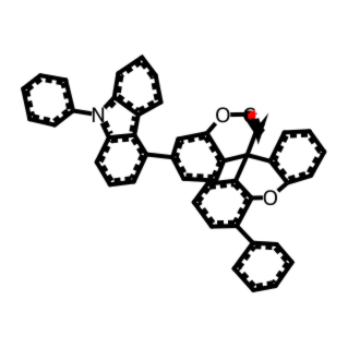 c1ccc(-c2cccc3c2Oc2ccccc2C32c3ccccc3Oc3cc(-c4cccc5c4c4ccccc4n5-c4ccccc4)ccc32)cc1